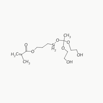 C=C(C)C(=O)OCCC[SiH2]OC(C)(OCCO)OCCO